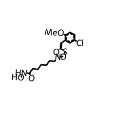 COc1ccc(Cl)cc1/C=C1/ON(CCCCCCC(=O)NO)OS1